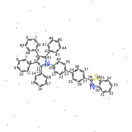 c1ccc(-c2c(-c3ccccc3)c(-c3ccccc3)n(-c3ccc(-c4ccc(-c5nc6ccccc6s5)cc4)cc3)c2-c2ccccc2)cc1